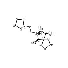 CC(C)C1(C(=O)NCCN2CCCC2)CCCC1